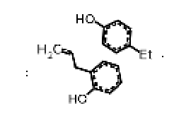 C=CCc1ccccc1O.CCc1ccc(O)cc1